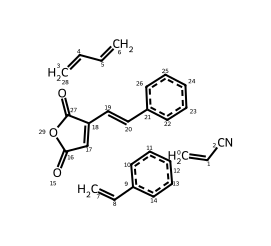 C=CC#N.C=CC=C.C=Cc1ccccc1.O=C1C=C(C=Cc2ccccc2)C(=O)O1